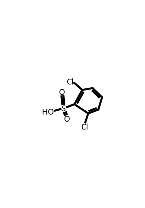 O=S(=O)(O)c1c(Cl)cccc1Cl